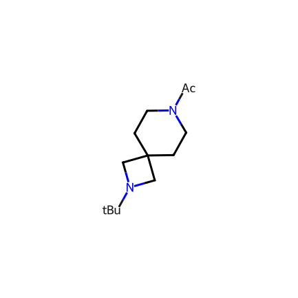 CC(=O)N1CCC2(CC1)CN(C(C)(C)C)C2